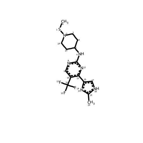 CSN1CCC(Nc2ncc(C(F)(F)F)c(-c3c[nH]c(C)n3)n2)CC1